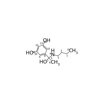 CCCCNC(C)(O)c1cc(O)cc(O)c1